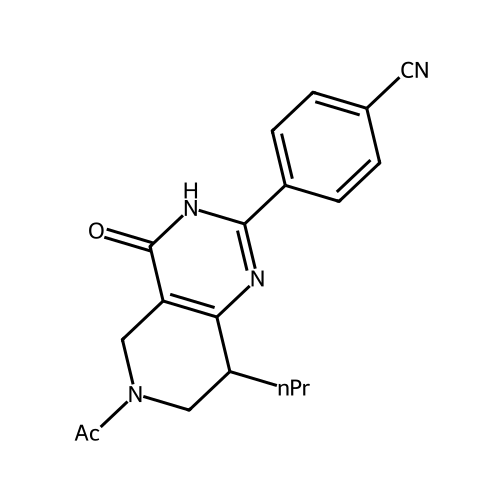 CCCC1CN(C(C)=O)Cc2c1nc(-c1ccc(C#N)cc1)[nH]c2=O